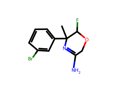 CC1(c2cccc(Br)c2)N=C(N)COC1F